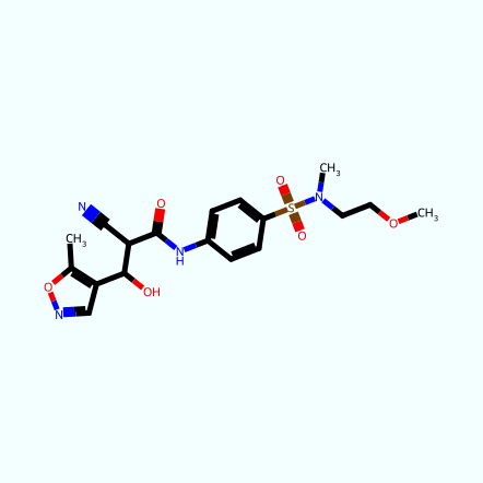 COCCN(C)S(=O)(=O)c1ccc(NC(=O)C(C#N)C(O)c2cnoc2C)cc1